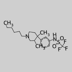 CCCCCCN1CCC(C)(c2cccc(NS(=O)(=O)C(F)(F)F)c2)C(C)C1